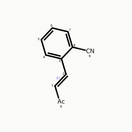 CC(=O)/C=C/c1ccccc1C#N